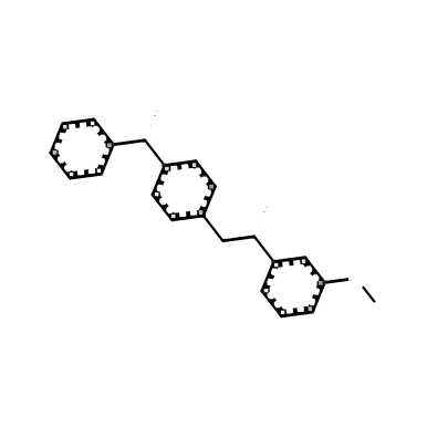 COc1cccc([C@@H](C)Cc2ccc([C@@H](C)c3ccccc3)cc2)c1